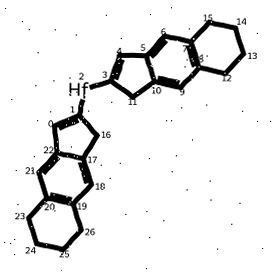 C1=[C]([Hf][C]2=Cc3cc4c(cc3C2)CCCC4)Cc2cc3c(cc21)CCCC3